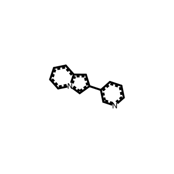 c1cncc(-c2cc3ccccn3c2)c1